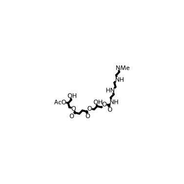 CNCCNCCNCCNC(=O)OCC(O)COC(=O)CCC(=O)OCC(CO)OC(C)=O